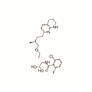 C[C@@H](CCc1ccc2c(n1)NCCC2)COCC[C@H](NC(=O)c1c(F)cccc1Cl)C(O)O